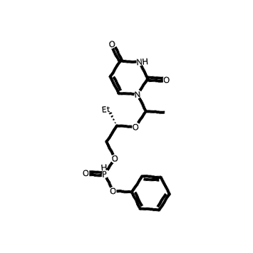 CC[C@@H](CO[PH](=O)Oc1ccccc1)OC(C)n1ccc(=O)[nH]c1=O